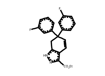 CCOC(=O)c1n[nH]c2c1C=CC(c1cccc(F)c1)(c1cccc(F)c1)C2